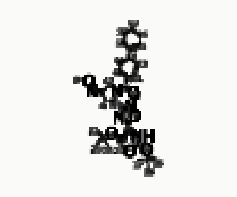 CON=C1C[C@@H](c2noc([C@@H](NC(=O)OC(C)(C)C)[C@@H](C)OC(C)(C)C)n2)N(C(=O)c2ccc(-c3ccccc3)cc2)C1